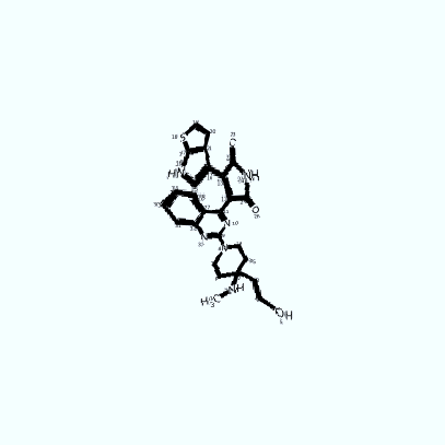 CNC1(CCO)CCN(c2nc(C3=C(c4c[nH]c5sccc45)C(=O)NC3=O)c3ccccc3n2)CC1